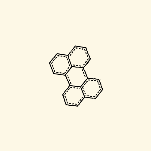 [c]1cc2cccc3c4[c]ccc5cccc(c(c1)c23)c54